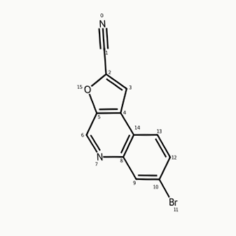 N#Cc1cc2c(cnc3cc(Br)ccc32)o1